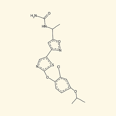 CC(C)Oc1ccc(Oc2ncc(-c3cc(C(C)NC(N)=O)on3)s2)c(Cl)c1